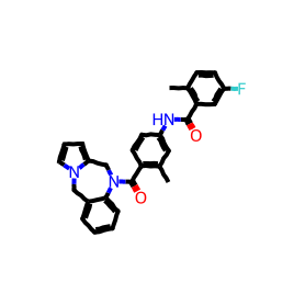 Cc1ccc(F)cc1C(=O)Nc1ccc(C(=O)N2Cc3cccn3Cc3ccccc32)c(C)c1